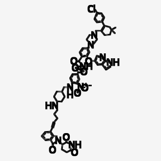 CC1(C)CCC(CN2CCN(c3ccc(C(=O)NS(=O)(=O)c4ccc(NCC5CCC(NCCCC#Cc6cccc7c6CN(C6CCC(=O)NC6=O)C7=O)CC5)c([N+](=O)[O-])c4)c(Oc4cnc5[nH]ccc5c4)c3)CC2)=C(c2ccc(Cl)cc2)C1